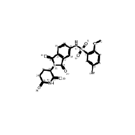 COc1ccc(Br)cc1S(=O)(=O)Nc1ccc2c(c1)C(=O)N(C1CCC(=O)NC1=O)C2=O